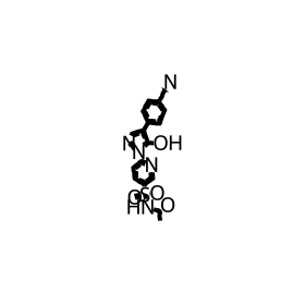 CC(=O)NS(=O)(=O)c1ccc(-n2ncc(-c3ccc(C#N)cc3)c2O)nc1